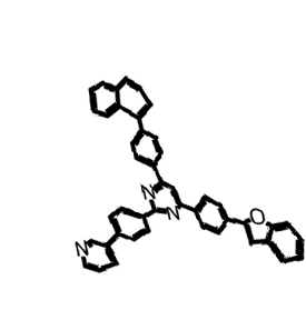 c1cncc(-c2ccc(-c3nc(-c4ccc(-c5cc6ccccc6o5)cc4)cc(-c4ccc(-c5cccc6ccccc56)cc4)n3)cc2)c1